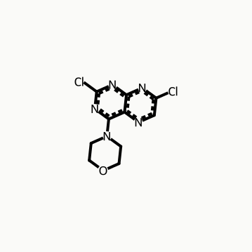 Clc1cnc2c(N3CCOCC3)nc(Cl)nc2n1